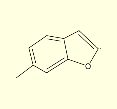 Cc1ccc2c[c]oc2c1